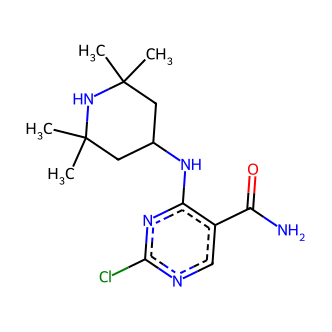 CC1(C)CC(Nc2nc(Cl)ncc2C(N)=O)CC(C)(C)N1